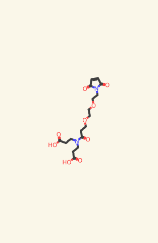 O=C(O)CCN(CCC(=O)O)C(=O)CCOCCOCCN1C(=O)C=CC1=O